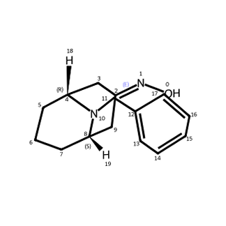 O/N=C1/C[C@H]2CCC[C@@H](C1)N2Cc1ccccc1